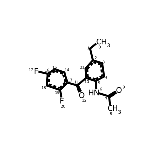 CCc1ccc(NC(C)=O)c(C(=O)c2ccc(F)cc2F)c1